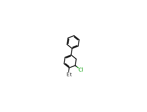 CCC1=CC=C(c2ccccc2)C[C]1Cl